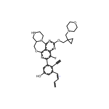 C#Cc1c(/C=C\C=C)cc(O)cc1-c1nc2c3c(nc(OCC4(CN5CCOCC5)CC4)nc3c1F)N1CCNCC1CO2